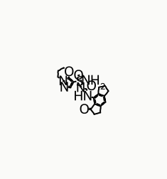 NS(=O)(=NC(=O)Nc1c2c(cc3c1C(=O)CC3)CCC2)c1cnn2c1OCCC2